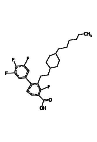 CCCCCCC1CCC(CCc2c(-c3cc(F)c(F)c(F)c3)ccc(C(=O)O)c2F)CC1